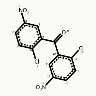 O=C(c1cc([N+](=O)[O-])ccc1Cl)c1cc([N+](=O)[O-])ccc1Cl